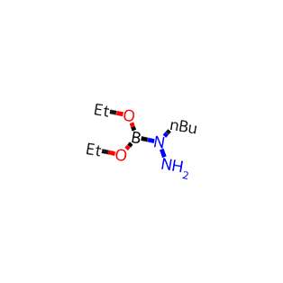 CCCCN(N)B(OCC)OCC